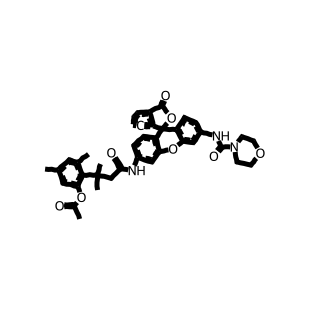 CC(=O)Oc1cc(C)cc(C)c1C(C)(C)CC(=O)Nc1ccc2c(c1)Oc1cc(NC(=O)N3CCOCC3)ccc1C21OC(=O)c2ccccc21